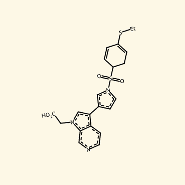 CCSC1=CCC(S(=O)(=O)n2ccc(-c3cn(CC(=O)O)c4cnccc34)c2)C=C1